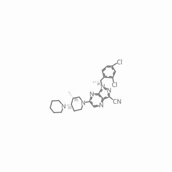 C[C@@H]1CN(c2cnc3c(C#N)nn([C@H](C)c4ccc(Cl)cc4Cl)c3n2)CC[C@@H]1N1CCCCC1